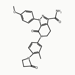 COc1ccc(-n2nc(C(N)=O)c3c2C(=O)N(c2ccc(N4CCC4=O)c(C)c2)CC3)cc1